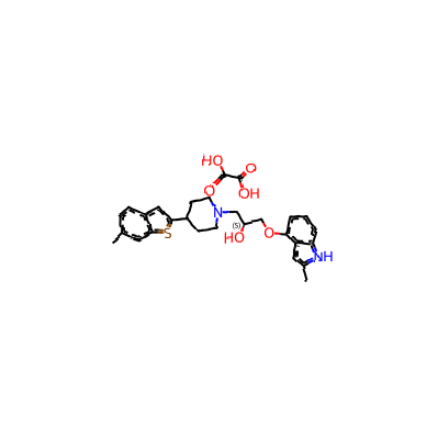 Cc1ccc2cc(C3CCN(C[C@H](O)COc4cccc5[nH]c(C)cc45)CC3)sc2c1.O=C(O)C(=O)O